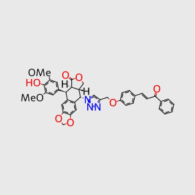 COc1cc([C@@H]2c3cc4c(cc3[C@@H](n3cc(COc5ccc(/C=C/C(=O)c6ccccc6)cc5)nn3)[C@H]3COC(=O)[C@H]23)OCO4)cc(OC)c1O